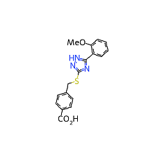 COc1ccccc1-c1nc(SCc2ccc(C(=O)O)cc2)n[nH]1